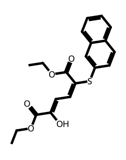 CCOC(=O)C(O)=CC=C(Sc1ccc2ccccc2c1)C(=O)OCC